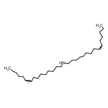 CCCCC/C=C\CCCCCCCCNCCCCCCCC/C=C\CCCCC